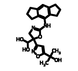 CC(C)(O)c1cc(C2(C(O)O)CN=C(Nc3c4c(cc5c3CCC5)CCC4)O2)no1